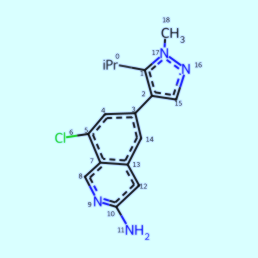 CC(C)c1c(-c2cc(Cl)c3cnc(N)cc3c2)cnn1C